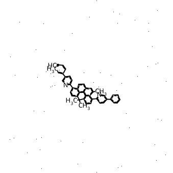 C#C/C=C\C(=C/C)c1ccc(-c2ccc3c4c2ccc2cc(C)c5c(-c6ccc(-c7ccccc7)cn6)ccc(c5c24)C3(C)C)nc1